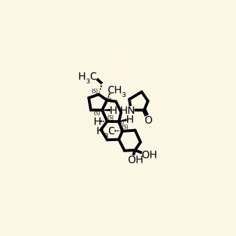 CC[C@H]1CC[C@H]2[C@@H]3CCC4CC(O)(O)CC[C@]4(C)[C@H]3CC[C@]12C.O=C1CCCN1